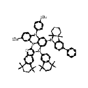 CC(C)(C)c1ccc(N2c3ccc(C(C)(C)C)cc3B3c4oc5cc6c(cc5c4N(c4ccc5c(c4)C(C)(C)CCC5(C)C)c4cc(N5c7ccc(-c8ccccc8)cc7C7(C)CCCCC57C)cc2c43)C(C)(C)CCC6(C)C)cc1